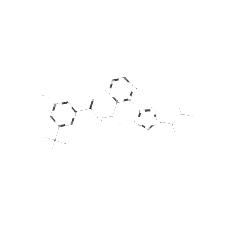 CC(NC(=O)c1cc(Br)cc(C(F)(F)F)c1)c1nccnc1-c1ncn(C(F)C(F)F)n1